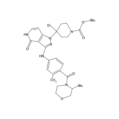 CCC(C)C1COCCN1C(=O)c1ccc(Nc2nn(C3(CC)CCN(C(=O)OC(C)(C)C)CC3)c3cc[nH]c(=O)c23)cc1C